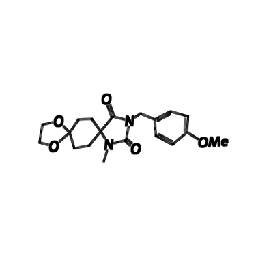 COc1ccc(CN2C(=O)N(C)C3(CCC4(CC3)OCCO4)C2=O)cc1